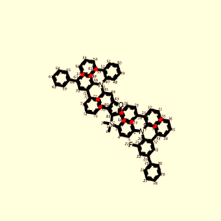 C[Si]1(C)c2ccc(N(c3ccccc3-c3ccccc3)c3c(F)cc(-c4ccccc4)cc3-c3ccccc3)cc2-c2oc3cc(N(c4ccccc4-c4ccccc4)c4c(F)cc(-c5ccccc5)cc4-c4ccccc4)ccc3c21